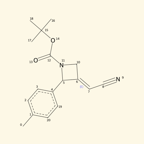 Cc1ccc(C2/C(=C/C#N)CN2C(=O)OC(C)(C)C)cc1